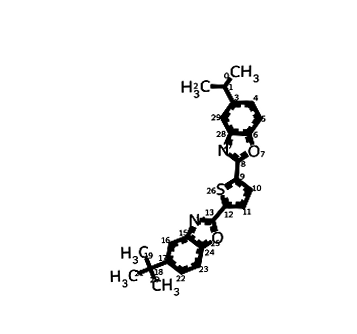 CC(C)c1ccc2oc(-c3ccc(-c4nc5cc(C(C)(C)C)ccc5o4)s3)nc2c1